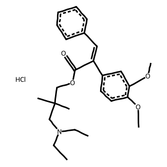 CCN(CC)CC(C)(C)COC(=O)C(=Cc1ccccc1)c1ccc(OC)c(OC)c1.Cl